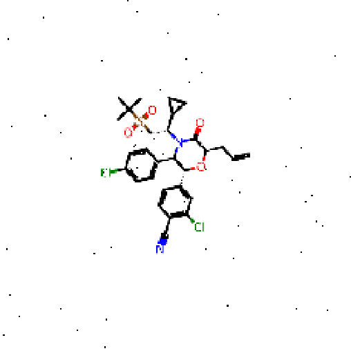 C=CC[C@H]1O[C@H](c2ccc(C#N)c(Cl)c2)[C@@H](c2ccc(Cl)cc2)N([C@H](CS(=O)(=O)C(C)(C)C)C2CC2)C1=O